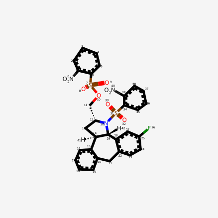 O=[N+]([O-])c1ccccc1S(=O)(=O)OC[C@H]1C[C@@H]2c3ccccc3Cc3ccc(F)cc3[C@H]2N1S(=O)(=O)c1ccccc1[N+](=O)[O-]